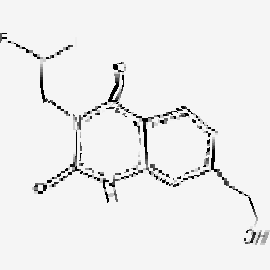 O=c1[nH]c2cc(CO)ccc2c(=O)n1CC(F)F